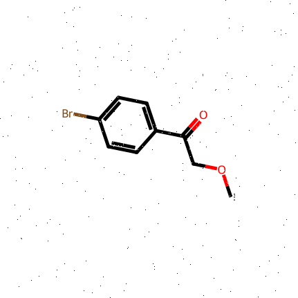 [C]OCC(=O)c1ccc(Br)cc1